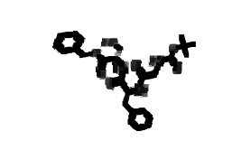 CC(C)(C)OC(=O)NCC(=O)N[C@@H](Cc1ccccc1)C(=O)N[C@@H](CO)C(=O)OCc1ccccc1